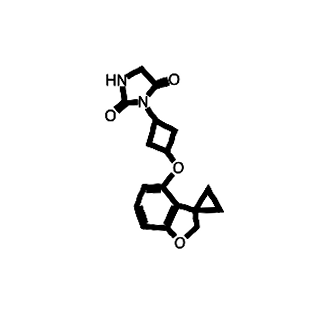 O=C1CNC(=O)N1C1CC(Oc2cccc3c2C2(CC2)CO3)C1